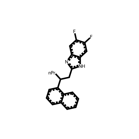 CCCC(Cc1nc2cc(F)c(F)cc2[nH]1)c1cccc2ccccc12